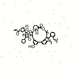 C=CC(=O)N1C[C@H](C)C(O)(C(=O)N(C)[C@H](C(=O)N[C@H]2Cc3cc(O)cc(c3)-c3ccc4c(c3)c(c(-c3ccccc3CN(C)C)n4CC)CC(C)(C)COC(=O)[C@@H]3CCCN(N3)C2=O)C2CCCC2)C1